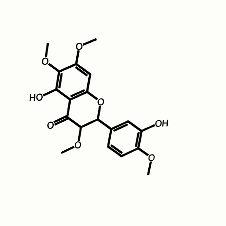 COc1ccc(C2Oc3cc(OC)c(OC)c(O)c3C(=O)C2OC)cc1O